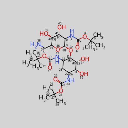 CC(C)(C)OC(=O)NC1[C@@H](O[C@@H]2C(NC(=O)OC(C)(C)C)C[C@H](NC(=O)OC(C)(C)C)C(O)[C@H]2O)OC(CN)[C@@H](O)[C@@H]1O